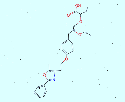 CCO[C@H](COC(CC)C(=O)O)Cc1ccc(OCCc2nc(-c3ccccc3)oc2C)cc1